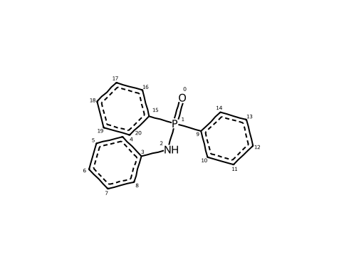 O=P(Nc1ccccc1)(c1ccccc1)c1ccccc1